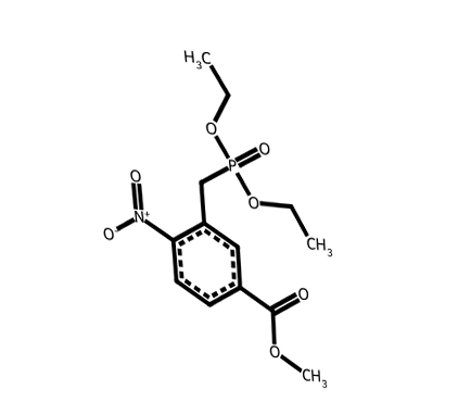 CCOP(=O)(Cc1cc(C(=O)OC)ccc1[N+](=O)[O-])OCC